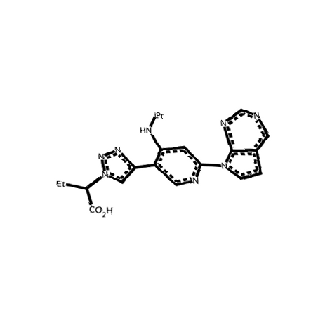 CCC(C(=O)O)n1cc(-c2cnc(-n3ccc4cncnc43)cc2NC(C)C)nn1